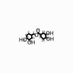 O=C(OCC1CCC(O)C(O)C1)C1CCC(O)C(O)C1